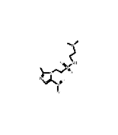 Cc1ncc([N+](=O)[O-])n1CCS(=O)(=O)NCCN(C)C